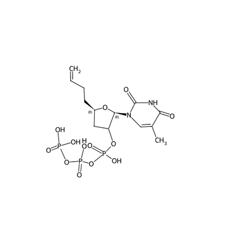 C=CCC[C@@H]1CC(OP(=O)(O)OP(=O)(O)OP(=O)(O)O)[C@H](n2cc(C)c(=O)[nH]c2=O)O1